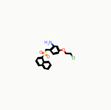 Nc1cc(OCCCl)ccc1CS(=O)(=O)c1cccc2ccccc12